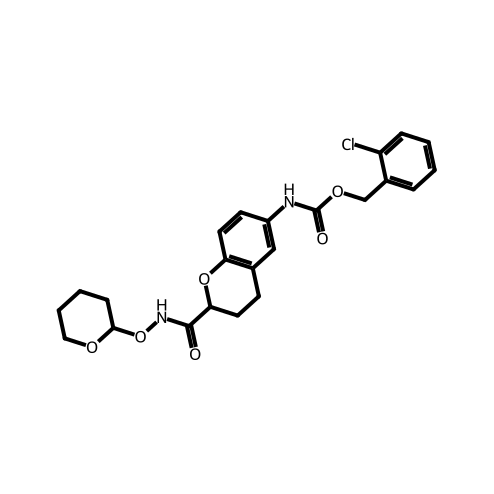 O=C(Nc1ccc2c(c1)CCC(C(=O)NOC1CCCCO1)O2)OCc1ccccc1Cl